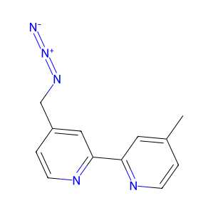 Cc1ccnc(-c2cc(CN=[N+]=[N-])ccn2)c1